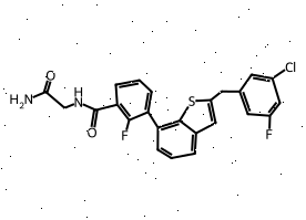 NC(=O)CNC(=O)c1cccc(-c2cccc3cc(Cc4cc(F)cc(Cl)c4)sc23)c1F